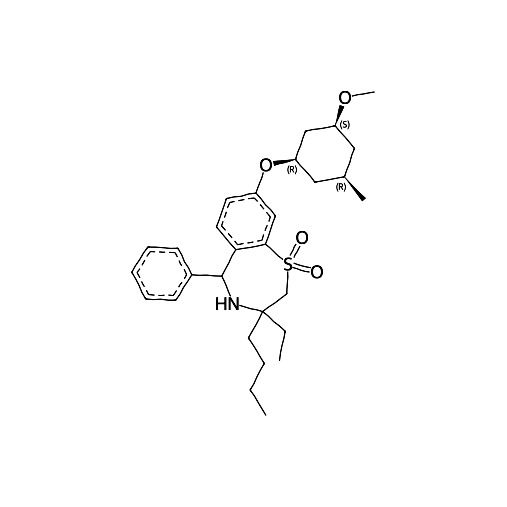 CCCCC1(CC)CS(=O)(=O)c2cc(O[C@@H]3C[C@H](C)C[C@H](OC)C3)ccc2C(c2ccccc2)N1